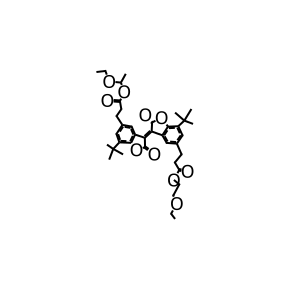 CCOCCOC(=O)CCc1cc2c(c(C(C)(C)C)c1)OC(=O)C2=C1C(=O)Oc2c1cc(CCC(=O)OC(C)OCC)cc2C(C)(C)C